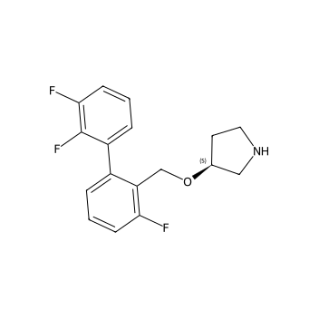 Fc1cccc(-c2cccc(F)c2CO[C@H]2CCNC2)c1F